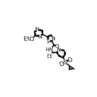 CCOc1cncc(-c2cnc(C(=O)N[C@@H](CC)c3cc(S(=O)(=O)C4CC4)ccn3)s2)n1